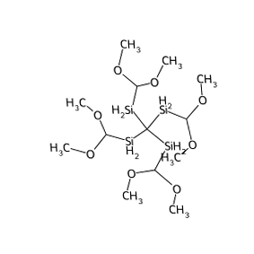 COC(OC)[SiH2]C([SiH2]C(OC)OC)([SiH2]C(OC)OC)[SiH2]C(OC)OC